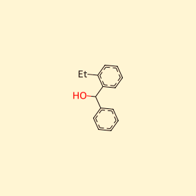 CCc1ccccc1C(O)c1ccccc1